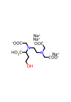 O=C([O-])CN(CCN(CC(=O)[O-])C(CCO)C(=O)O)CC(=O)[O-].[Na+].[Na+].[Na+]